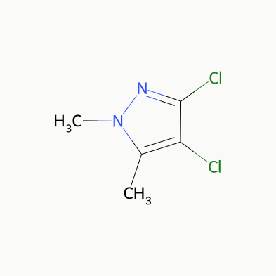 Cc1c(Cl)c(Cl)nn1C